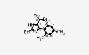 CCc1nc(-c2c(C)cc(C)cc2C)c(C(CC)CC)[nH]1